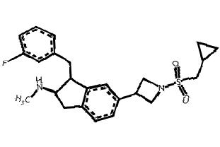 CNC1Cc2ccc(C3CN(S(=O)(=O)CC4CC4)C3)cc2C1Cc1cccc(F)c1